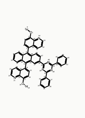 [3H]Oc1ccc(-c2c3ccccc3c(-c3ccc(O[3H])c4ncccc34)c3cc(-c4nc(-c5ccccc5)nc(-c5ccccc5)n4)ccc23)c2cccnc12